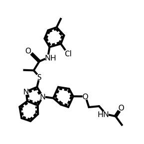 CC(=O)NCCOc1ccc(-n2c(SC(C)C(=O)Nc3ccc(C)cc3Cl)nc3ccccc32)cc1